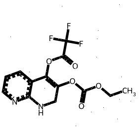 CCOC(=O)OC1=C(OC(=O)C(F)(F)F)c2cccnc2NC1